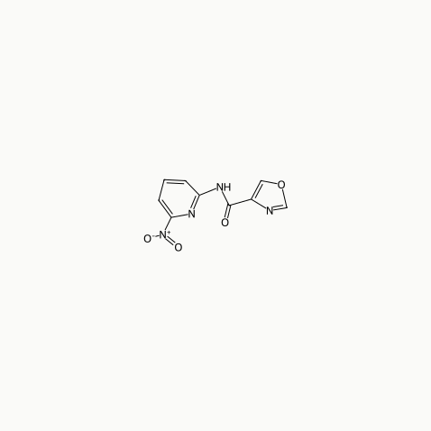 O=C(Nc1cccc([N+](=O)[O-])n1)c1cocn1